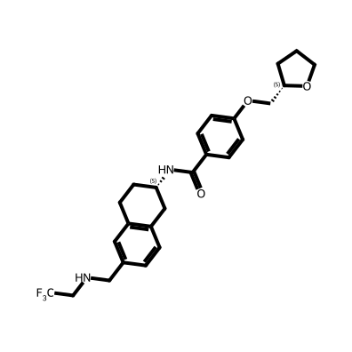 O=C(N[C@H]1CCc2cc(CNCC(F)(F)F)ccc2C1)c1ccc(OC[C@@H]2CCCO2)cc1